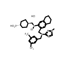 CCN(C[C@H]1CC[C@H](C(=O)O)CC1)c1cc2c(cc1CN(Cc1cc(C(F)(F)F)cc(C(F)(F)F)c1)c1ncn(C)n1)CCCC2.Cl